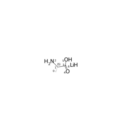 C[C@H](N)C(=O)O.[LiH]